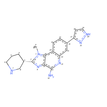 CC(C)n1c([C@H]2CCCNC2)nc2c(N)nc3cc(-c4cc[nH]n4)ccc3c21